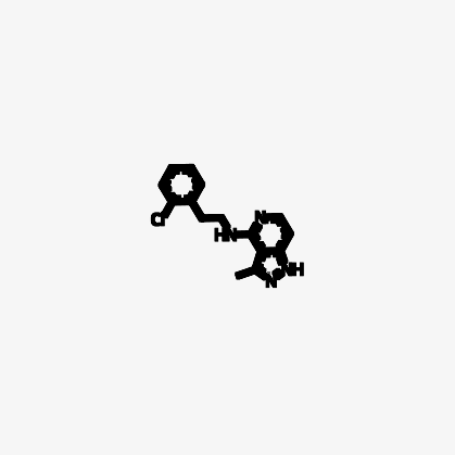 Cc1n[nH]c2ccnc(NCCc3ccccc3Cl)c12